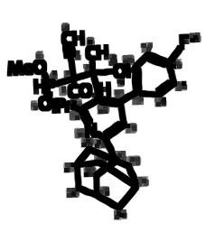 C#CC(C(=O)O)([PH](=O)OC)C(C)(O)c1c(-c2ccc(F)cc2)cc(C23CC4CC(CC(C4)C2)C3)nc1C(C)C